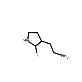 NCCC1CCNC1I